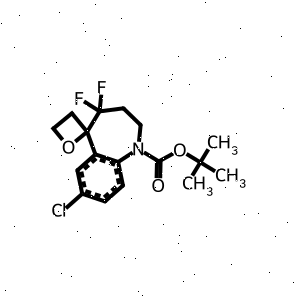 CC(C)(C)OC(=O)N1CCC(F)(F)C2(CCO2)c2cc(Cl)ccc21